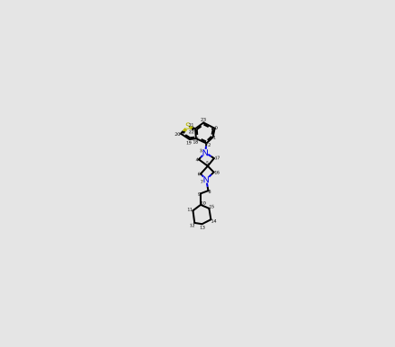 c1cc(N2CC3(CN(CCC4CCCCC4)C3)C2)c2ccsc2c1